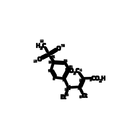 CCC(=C(C(=O)O)C(=O)O)N(CC)c1ccc(S(C)(=O)=O)cc1